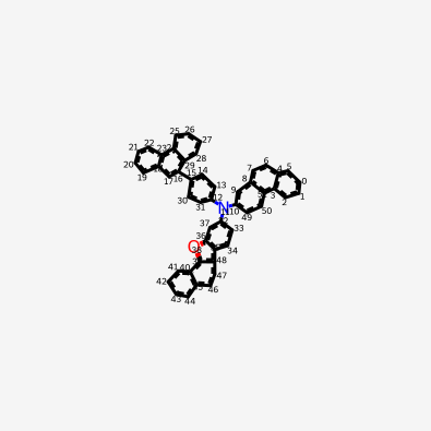 c1ccc2c(c1)ccc1cc(N(c3ccc(-c4cc5ccccc5c5ccccc45)cc3)c3ccc4c(c3)oc3c5ccccc5ccc43)ccc12